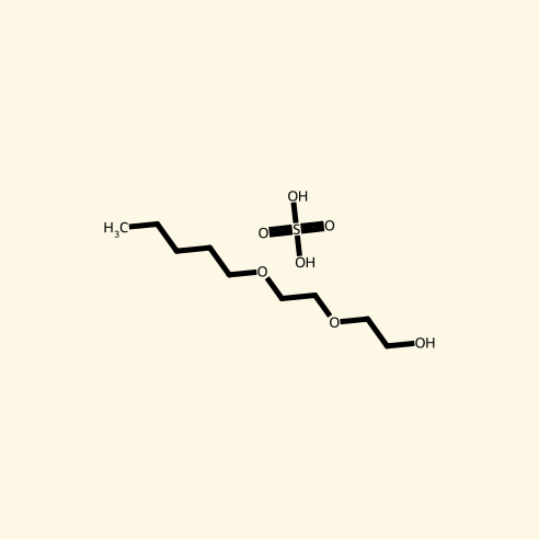 CCCCCOCCOCCO.O=S(=O)(O)O